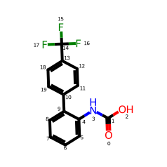 O=C(O)Nc1ccccc1-c1ccc(C(F)(F)F)cc1